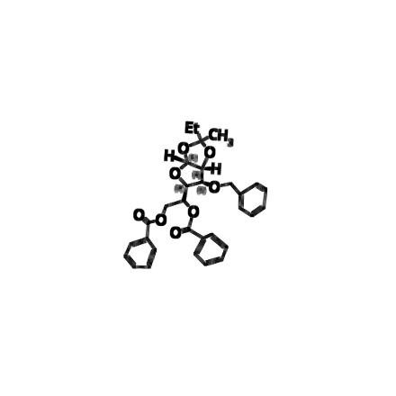 CCC1(C)O[C@H]2O[C@H](C(COC(=O)c3ccccc3)OC(=O)c3ccccc3)[C@H](OCc3ccccc3)[C@H]2O1